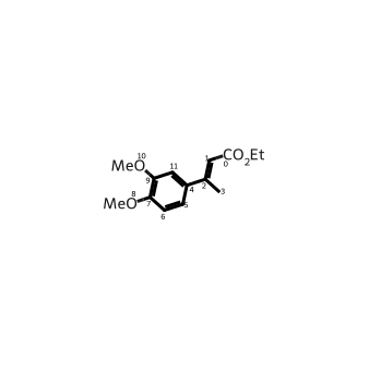 CCOC(=O)C=C(C)c1ccc(OC)c(OC)c1